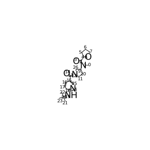 CN(C(=O)[C@H]1CCCO1)[C@H]1CCN(C(=O)c2ccc(NC(C)(C)C)nc2)C1